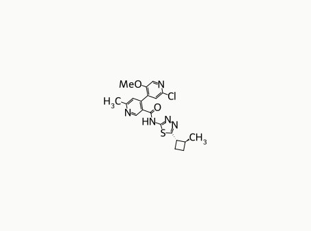 COc1cnc(Cl)cc1-c1cc(C)ncc1C(=O)Nc1nnc([C@H]2CC[C@@H]2C)s1